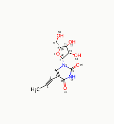 CC#Cc1cn([C@@H]2O[C@H](CO)C(O)C2O)c(=O)[nH]c1=O